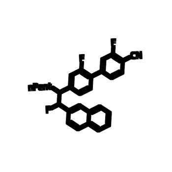 CCCCCC(c1ccc(-c2ccc(C#N)c(F)c2)c(F)c1)C(F)c1ccc2ccccc2c1